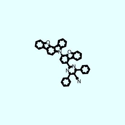 N#Cc1c(-c2ccccc2)nc(-c2ccc(-n3c4ccccc4c4c5oc6ccccc6c5ccc43)c3oc4ccccc4c23)nc1-c1ccccc1